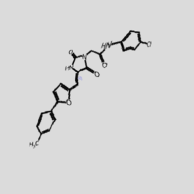 Cc1ccc(-c2ccc(/C=C3\NC(=O)N(CC(=O)Nc4ccc(Cl)cc4)C3=O)o2)cc1